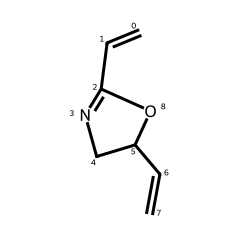 C=CC1=NCC(C=C)O1